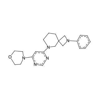 c1ccc(N2CC3(CCCN(c4cc(N5CCOCC5)ncn4)C3)C2)cc1